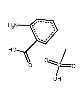 CS(=O)(=O)O.Nc1ccccc1C(=O)O